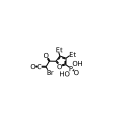 CCc1c(C(=O)C(Br)=C=O)oc(P(=O)(O)O)c1CC